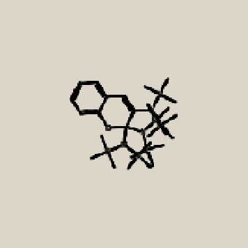 C[Si](C)(C)N(C1=Cc2ccccc2OC1(N([Si](C)(C)C)[Si](C)(C)C)N([Si](C)(C)C)[Si](C)(C)C)[Si](C)(C)C